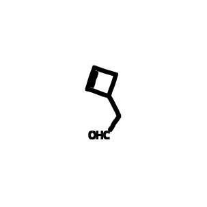 O=CCC1C=CC1